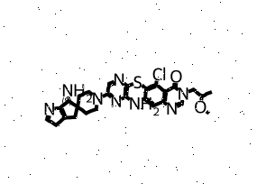 COC(C)Cn1cnc2ccc(Sc3ncc(N4CCC5(CC4)CC4=C(N=CC4)[C@H]5N)nc3N)c(Cl)c2c1=O